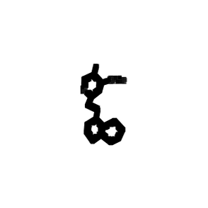 COc1cc(C=Cc2cccc3ccccc23)ncc1C